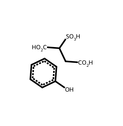 O=C(O)CC(C(=O)O)S(=O)(=O)O.Oc1ccccc1